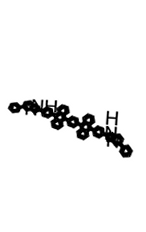 C1=CC2NC(c3ccc(-c4c5ccccc5c(-c5ccc(-c6c7ccccc7c(-c7ccc(C8=CN9C=C(c%10ccccc%10)C=CC9N8)cc7)c7ccccc67)cc5)c5ccccc45)cc3)=CN2C=C1c1ccccc1